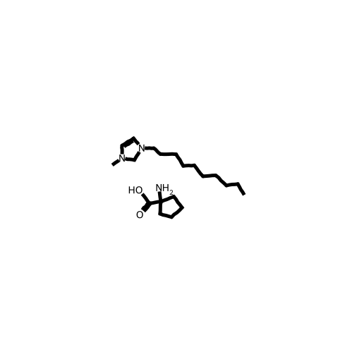 CCCCCCCCCCN1C=CN(C)C1.NC1(C(=O)O)CCCC1